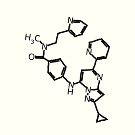 CN(CCc1ccccn1)C(=O)c1ccc(Nc2cc(-c3ccccn3)nc3cc(C4CC4)nn23)cc1